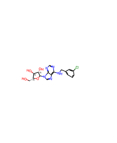 OC[C@H]1OC(n2cnc3c(NCc4cccc(Cl)c4)ncnc32)[C@@H](O)[C@@H]1O